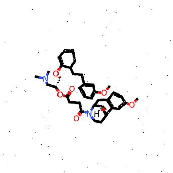 COc1cccc(CCC2CC=CC=C2OC[C@@H](CN(C)C)OC(=O)CCC(=O)N2CCC34CCCC[C@@H]3C2Cc2ccc(OC)cc24)c1